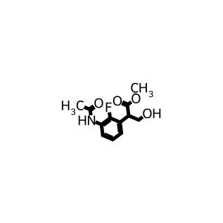 COC(=O)C(CO)c1cccc(NC(C)=O)c1F